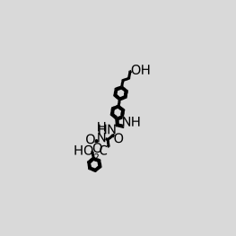 O=C(O)CC(NC(=O)OCc1ccccc1)C(=O)Nc1c[nH]c2cc(-c3ccc(CCCO)cc3)ccc12